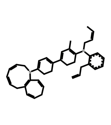 C=CCc1ccccc1N(C/C=C\C)C1=C(C)C=C(C2=CC=C(N3C/C=C\C=C/CC4=C3C=CCC=C4)CC2)CC1